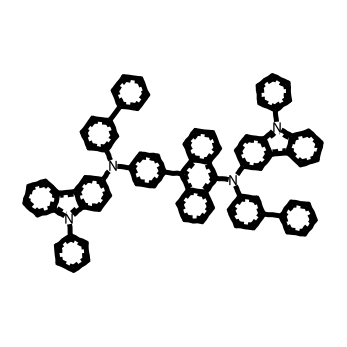 c1ccc(-c2cccc(N(c3ccc(-c4c5ccccc5c(N(c5cccc(-c6ccccc6)c5)c5ccc6c(c5)c5ccccc5n6-c5ccccc5)c5ccccc45)cc3)c3ccc4c(c3)c3ccccc3n4-c3ccccc3)c2)cc1